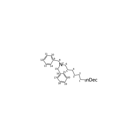 CCCCCCCCCCCCCCCCN(Cc1ccccc1)Cc1ccccc1